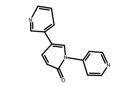 O=c1ccc(-c2cccnc2)cn1-c1ccncc1